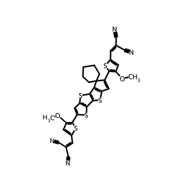 COc1cc(C=C(C#N)C#N)sc1C1=Cc2sc3c(sc4cc(-c5sc(C=C(C#N)C#N)cc5OC)sc43)c2C12CCCCC2